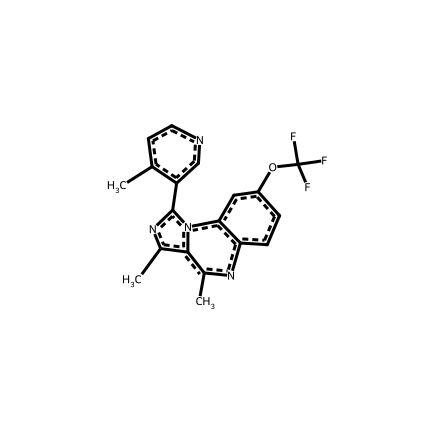 Cc1ccncc1-c1nc(C)c2c(C)nc3ccc(OC(F)(F)F)cc3n12